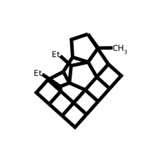 CCC1C23C(C)C4CC2C2C5CC6C7CC8C9C%10CC4C%103C93C21C(CC)C56C783